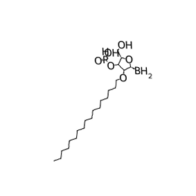 B[C@@H]1O[C@H](CO)C(O[PH](=O)O)[C@@H]1OCCCCCCCCCCCCCCCCC